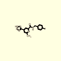 Cc1cc(-c2nn[nH]n2)cc(C(=O)NCc2ccc(F)cc2)n1